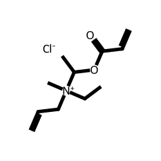 C=CC[N+](C)(CC)C(C)OC(=O)C=C.[Cl-]